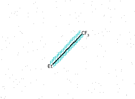 C[CH]C(F)(F)C(F)(F)C(F)(F)C(F)(F)C(F)(F)C(F)(F)C(F)(F)C(F)(F)C(F)(F)C(F)(F)C(F)(F)C(F)(F)C(F)(F)C(F)(F)C(F)(F)C(F)(F)C(F)(F)C(F)(F)C(F)(F)C(F)(F)F